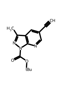 C#Cc1cnc2c(c1)c(C)nn2C(=O)OC(C)(C)C